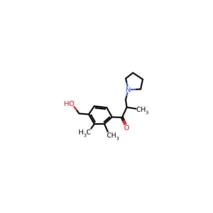 Cc1c(CO)ccc(C(=O)C(C)CN2CCCC2)c1C